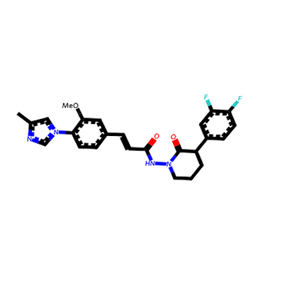 COc1cc(C=CC(=O)NN2CCCC(c3ccc(F)c(F)c3)C2=O)ccc1-n1cnc(C)c1